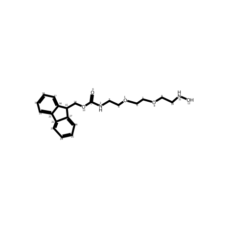 O=C(NCCOCCOCCNO)OCC1c2ccccc2-c2ccccc21